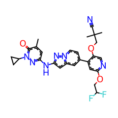 Cc1cc(Nc2cc3cc(-c4cc(OCC(F)F)ncc4OCC(C)(C)C#N)ccn3n2)nn(C2CC2)c1=O